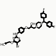 C#CCOc1nc(Nc2ccc(OCC(O)CN3CCN(C(c4ccc(F)cc4)c4ccc(F)cc4)CC3)cc2)ncc1Br